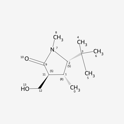 C[C@H]1[C@@H](C(C)(C)C)N(C)C(=O)[C@@H]1CO